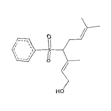 CC(C)=CCC(C(C)=CCO)S(=O)(=O)c1ccccc1